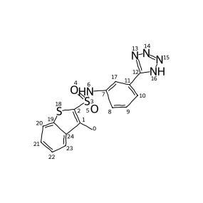 Cc1c(S(=O)(=O)Nc2cccc(-c3nnn[nH]3)c2)sc2ccccc12